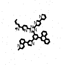 C=N/C(=C\C=C/C)c1ccc(-c2nc(-c3cc(-c4cc(-c5cccc6nc(C)ccc56)ccn4)cc(-c4cc5ccccc5c5ccccc45)c3)nc(-c3ccc(-c4ccccn4)cn3)n2)nc1